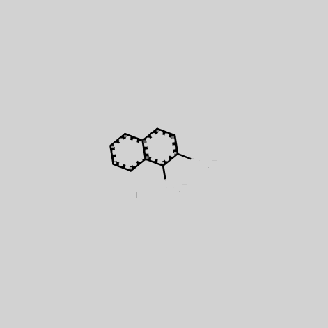 Cl.O=C(O)c1ccc2ccccc2c1C(=O)O